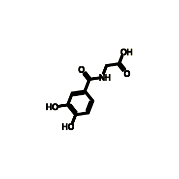 O=C(O)CNC(=O)c1ccc(O)c(O)c1